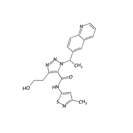 Cc1cc(NC(=O)c2c(CCO)nnn2C(C)c2ccc3ncccc3c2)sn1